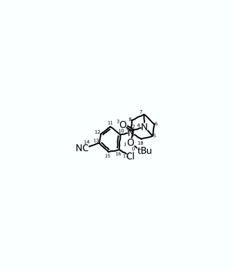 CC(C)(C)OC(=O)N1C2CC1CN(c1ccc(C#N)cc1Cl)C2